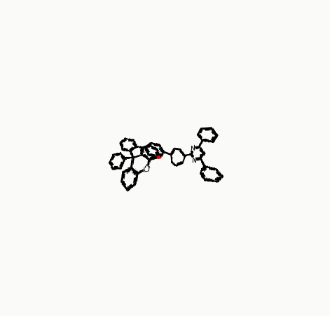 C1=CC(c2nc(-c3ccccc3)cc(-c3ccccc3)n2)=CC=C(c2ccc(-c3ccccc3C3(c4ccccc4)c4ccccc4Oc4ccccc43)cc2)C1